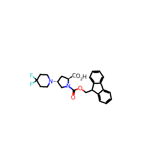 O=C(O)[C@@H]1C[C@@H](N2CCC(F)(F)CC2)CN1C(=O)OCC1c2ccccc2-c2ccccc21